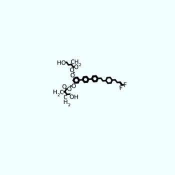 C=C(CO)C(=C)C(=O)OCOc1cc(OCOC(=O)C(=C)CCO)cc(-c2ccc(-c3ccc(CCC4CCC(CCC=C(F)F)CC4)cc3)cc2)c1